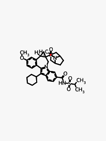 COc1ccc2c(c1)[C@@H]1CC1(C(=O)N1C3CCC1CN(C)C3)Cn1c-2c(C2CCCCC2)c2ccc(C(=O)NS(=O)(=O)C(C)C)cc21